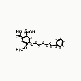 COc1cc(C(=O)O)c(C(=O)O)cc1OCCCCCCc1ccccc1